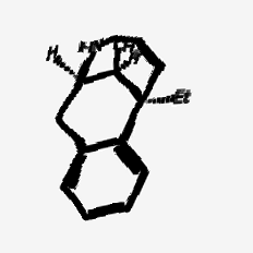 CC[C@]12CCN[C@H](Cc3ccccc31)[C@H]2C